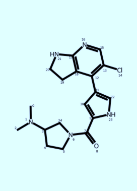 CN(C)C1CCN(C(=O)c2cc(-c3c(Cl)cnc4c3CCN4)c[nH]2)C1